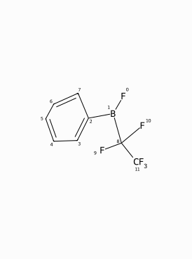 FB(c1ccccc1)C(F)(F)C(F)(F)F